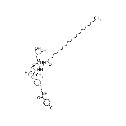 CCC=CCC=CCC=CCC=CCC=CCC=CCCC(=O)NCC(NC(=O)C(C)(C)Oc1ccc(CCNC(=O)c2ccc(Cl)cc2)cc1)C(=O)OCC(CO)CO